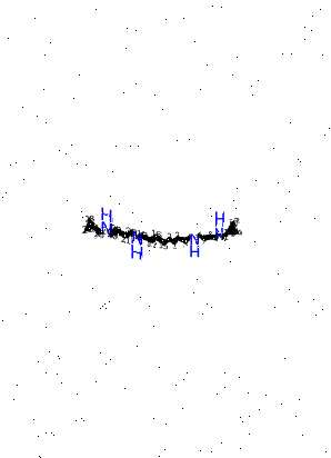 C(CCCCNCCCCNCC1CC1)CCCCNCCCCNCC1CC1